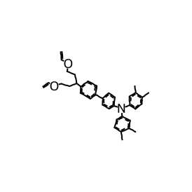 C=COCCC(CCOC=C)c1ccc(-c2ccc(N(c3ccc(C)c(C)c3)c3ccc(C)c(C)c3)cc2)cc1